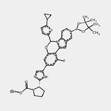 CC(C)(C)OC(=O)N1CCC[C@H]1c1ncc(-c2cc(F)c3c(c2)OC(c2ccc(C4CC4)s2)n2c-3cc3cc(B4OC(C)(C)C(C)(C)O4)ccc32)[nH]1